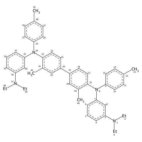 CCN(CC)c1cccc(N(c2ccc(C)cc2)c2ccc(-c3ccc(N(c4ccc(C)cc4)c4cccc(N(CC)CC)c4)c(C)c3)cc2C)c1